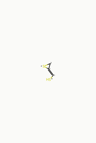 S/C=C1/CS1